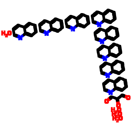 O.O.O.O.O=CC(=O)C=O.c1ccc2ncccc2c1.c1ccc2ncccc2c1.c1ccc2ncccc2c1.c1ccc2ncccc2c1.c1ccc2ncccc2c1.c1ccc2ncccc2c1.c1ccc2ncccc2c1.c1ccc2ncccc2c1